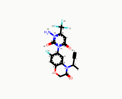 C#CC(C)N1C(=O)COc2cc(F)c(-n3c(=O)cc(C(F)(F)F)n(N)c3=O)cc21